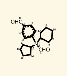 O=Cc1ccc([N+](C=O)(C2CCCCC2)C2CCCC2)cc1